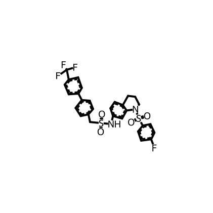 O=S(=O)(Cc1ccc(-c2ccc(C(F)(F)F)cc2)cc1)Nc1ccc2c(c1)N(S(=O)(=O)c1ccc(F)cc1)CCC2